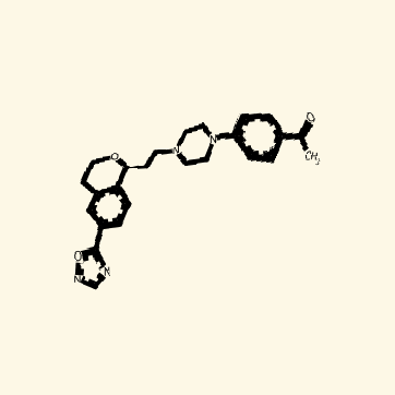 CC(=O)c1ccc(N2CCN(CC[C@@H]3OCCc4cc(-c5ncno5)ccc43)CC2)cc1